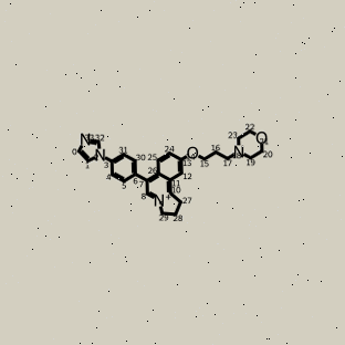 c1cn(-c2ccc(-c3c[n+]4c(c5cc(OCCCN6CCOCC6)ccc35)CCC4)cc2)cn1